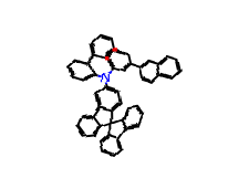 c1ccc(-c2ccccc2N(c2cccc(-c3ccc4ccccc4c3)c2)c2ccc3c(c2)-c2ccccc2C32c3ccccc3-c3ccccc32)cc1